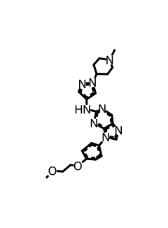 COCCOc1ccc(-n2cnc3cnc(Nc4cnn(C5CCN(C)CC5)c4)nc32)cc1